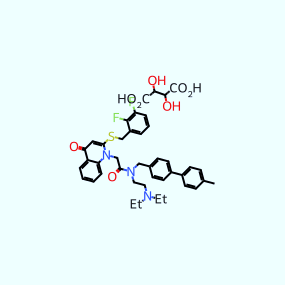 CCN(CC)CCN(Cc1ccc(-c2ccc(C)cc2)cc1)C(=O)Cn1c(SCc2cccc(F)c2F)cc(=O)c2ccccc21.O=C(O)C(O)C(O)C(=O)O